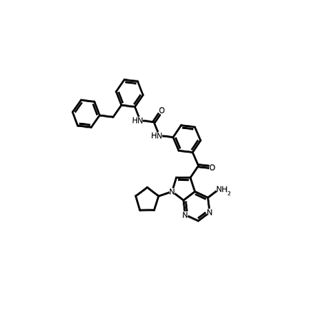 Nc1ncnc2c1c(C(=O)c1cccc(NC(=O)Nc3ccccc3Cc3ccccc3)c1)cn2C1CCCC1